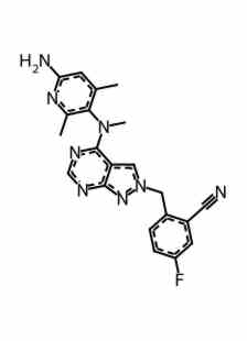 Cc1cc(N)nc(C)c1N(C)c1ncnc2nn(Cc3ccc(F)cc3C#N)cc12